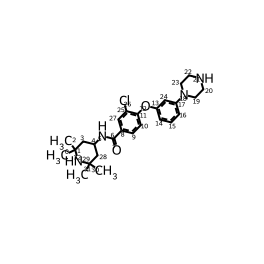 CC1(C)CC(NC(=O)c2ccc(Oc3cccc(N4CCNCC4)c3)c(Cl)c2)CC(C)(C)N1